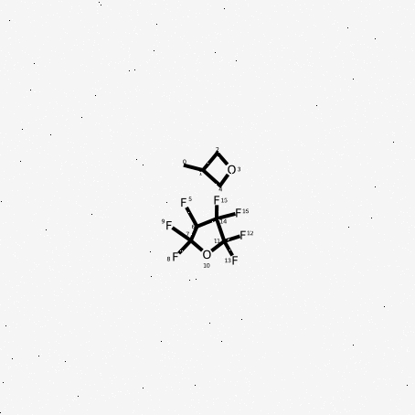 CC1COC1.FC1C(F)(F)OC(F)(F)C1(F)F